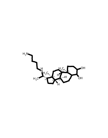 CC(NCCCCN)[C@H]1CC[C@H]2[C@@H]3CCC4C(O)C(O)CC[C@]4(C)[C@H]3CC[C@]12C